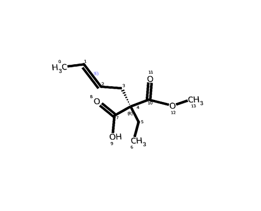 C/C=C/C[C@](CC)(C(=O)O)C(=O)OC